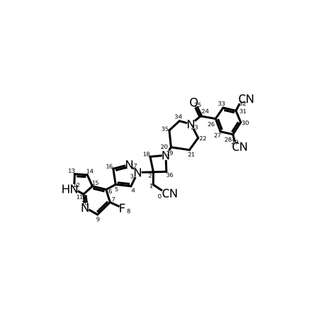 N#CCC1(n2cc(-c3c(F)cnc4[nH]ccc34)cn2)CN(C2CCN(C(=O)c3cc(C#N)cc(C#N)c3)CC2)C1